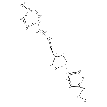 CCCc1ccc([C@H]2CC[C@H](C=CC#Cc3ccc(Cl)cc3)CC2)cc1